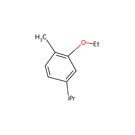 CCOc1cc(C(C)C)ccc1C